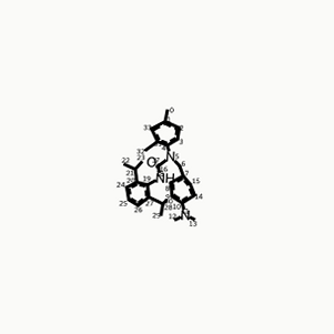 Cc1ccc(N(Cc2ccc(N(C)C)cc2)C(=O)Nc2c(C(C)C)cccc2C(C)C)c(C)c1